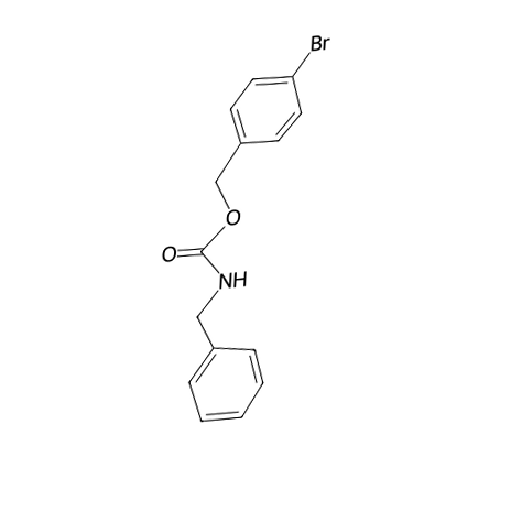 O=C(NCc1ccccc1)OCc1ccc(Br)cc1